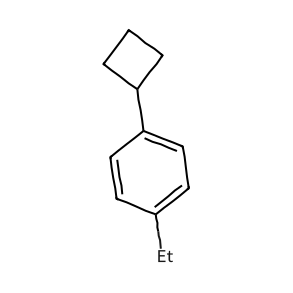 [CH2]Cc1ccc(C2CCC2)cc1